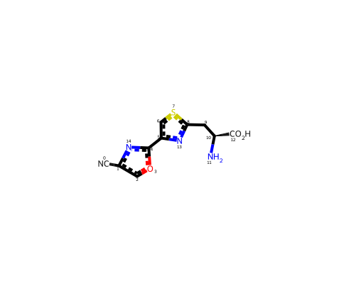 N#Cc1coc(-c2csc(C[C@H](N)C(=O)O)n2)n1